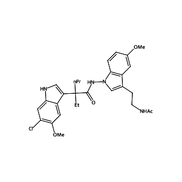 CCCC(CC)(C(=O)Nn1cc(CCNC(C)=O)c2cc(OC)ccc21)c1c[nH]c2cc(Cl)c(OC)cc12